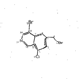 Clc1cc(CBr)cc2c(Br)cncc12